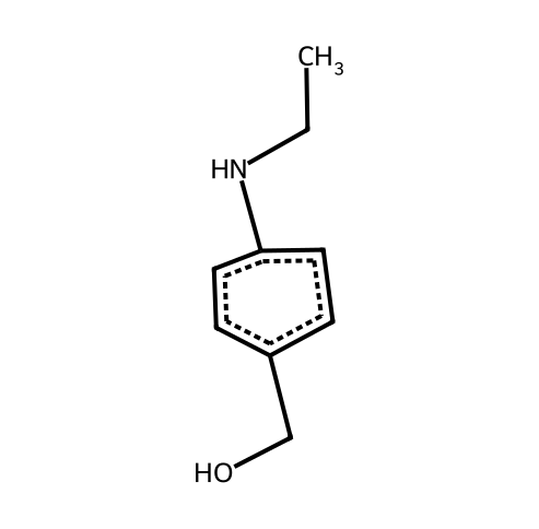 CCNc1ccc(CO)cc1